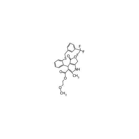 COCCOC(=O)C1=C(C)NC2=C(C(=O)OC2)C1c1ccccc1SCc1cccc(C(F)(F)F)c1